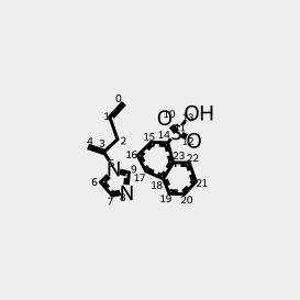 C=CCC(=C)n1ccnc1.O=S(=O)(O)c1cccc2ccccc12